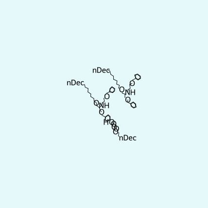 CCCCCCCCCCCCCCCCCCOCC(COCc1ccccc1)NCCCOCc1ccccc1.CCCCCCCCCCCCCCCCCCOCC(COCc1ccccc1)NCCCOCc1ccccc1.CCCCCCCCCCCCOOOOO